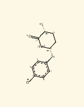 C[C@@H]1CC[C@H](Cc2ccc(Cl)cc2)NC1=O